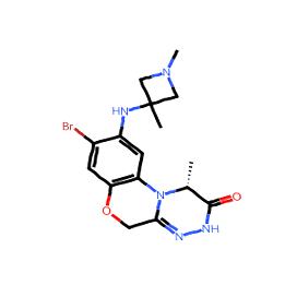 C[C@@H]1C(=O)NN=C2COc3cc(Br)c(NC4(C)CN(C)C4)cc3N21